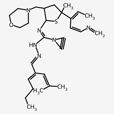 C=N/C=C\C(=C/C)C1(C)CC(CN2CCOCC2)C(/N=C(/N/N=C/C(C=C(C)C)=C/CCC)N2C#C2)S1